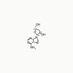 NC1=NC=NC2C1N=CN2[C@@H]1O[C@H](CO)C[C@H]1O